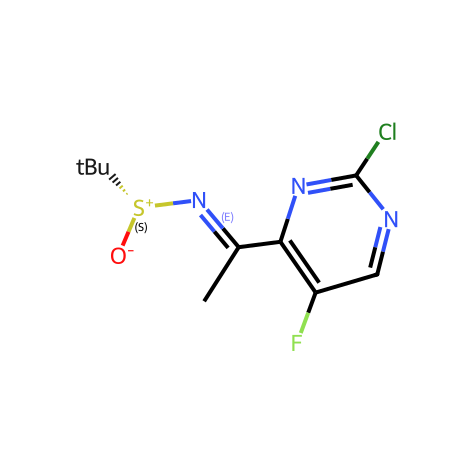 C/C(=N\[S@+]([O-])C(C)(C)C)c1nc(Cl)ncc1F